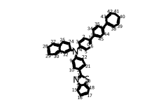 C=C(/C=C\C(=C/C)N(c1ccc(-c2nc3ccccc3s2)cc1)c1ccc2ccccc2c1)c1ccc(C2=CC=CCC=C2)cc1